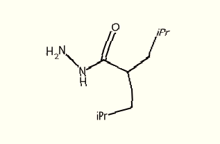 CC(C)CC(CC(C)C)C(=O)NN